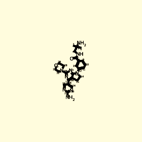 CC(C)(N)CNC(=O)c1cccc(N2CCc3c(-c4cnc(N)nc4)nc(N4CCOCC4)nc32)c1